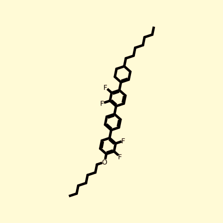 CCCCCCCOc1ccc(-c2ccc(-c3ccc(C4=CCC(CCCCCCC)CC4)c(F)c3F)cc2)c(F)c1F